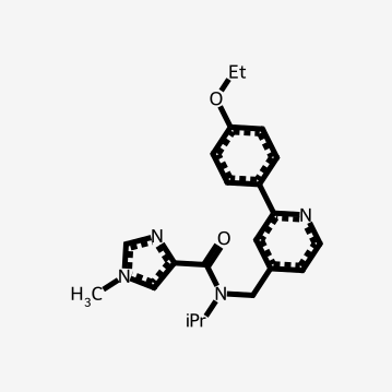 CCOc1ccc(-c2cc(CN(C(=O)c3cn(C)cn3)C(C)C)ccn2)cc1